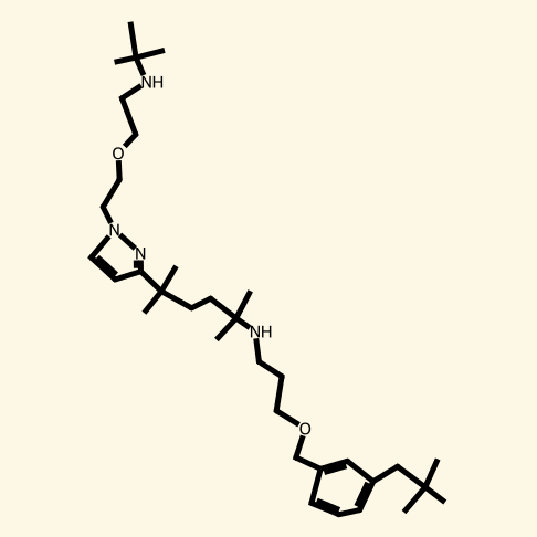 CC(C)(C)Cc1cccc(COCCCNC(C)(C)CCC(C)(C)c2ccn(CCOCCNC(C)(C)C)n2)c1